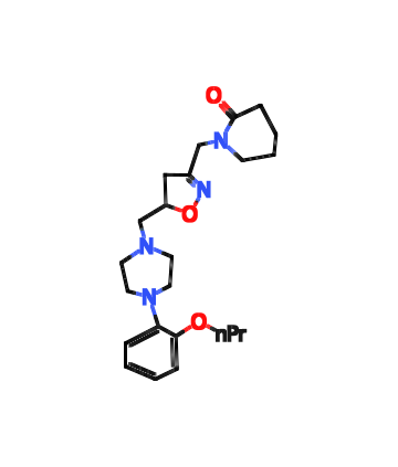 CCCOc1ccccc1N1CCN(CC2CC(CN3CCCCC3=O)=NO2)CC1